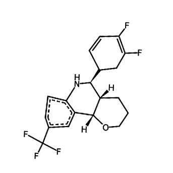 FC1=C(F)CC([C@@H]2Nc3ccc(C(F)(F)F)cc3[C@H]3OCCC[C@H]32)C=C1